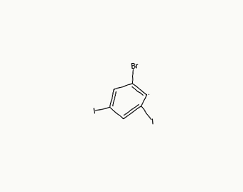 Brc1[c]c(I)cc(I)c1